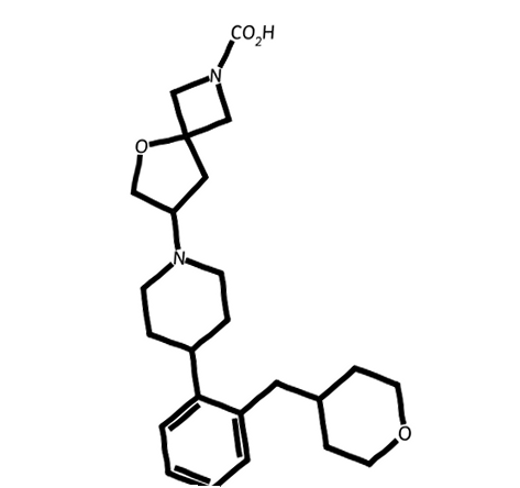 O=C(O)N1CC2(CC(N3CCC(c4ccccc4CC4CCOCC4)CC3)CO2)C1